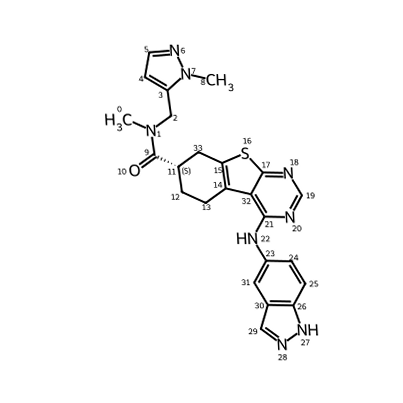 CN(Cc1ccnn1C)C(=O)[C@H]1CCc2c(sc3ncnc(Nc4ccc5[nH]ncc5c4)c23)C1